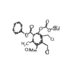 COc1c(C)c(C(=O)Oc2ccccc2)c(OC(=O)OC(C)(C)C)c(CCl)c1CCl